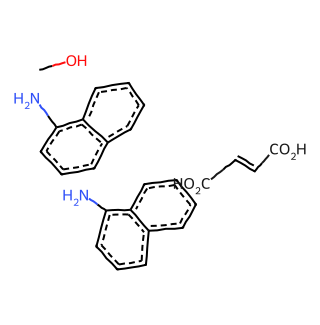 CO.Nc1cccc2ccccc12.Nc1cccc2ccccc12.O=C(O)C=CC(=O)O